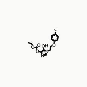 CCOC(=O)Oc1ncn(CCOc2ccc(F)cc2)c1O